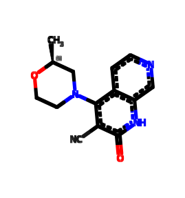 C[C@H]1CN(c2c(C#N)c(=O)[nH]c3cnccc23)CCO1